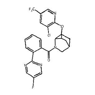 O=C(c1ccccc1-c1ncc(F)cn1)N1CC2CCC1C(Oc1ncc(C(F)(F)F)cc1Cl)C2